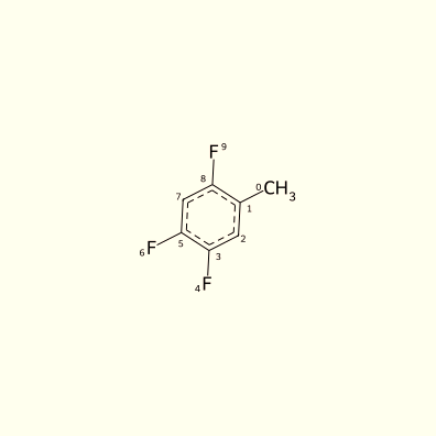 Cc1cc(F)c(F)cc1F